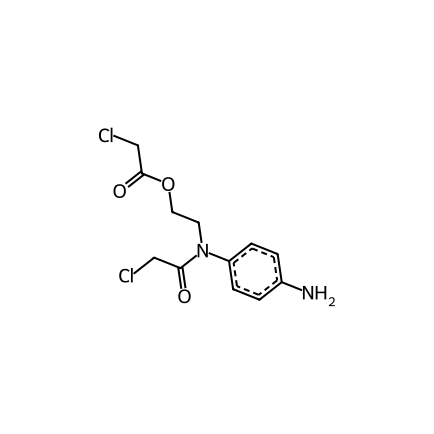 Nc1ccc(N(CCOC(=O)CCl)C(=O)CCl)cc1